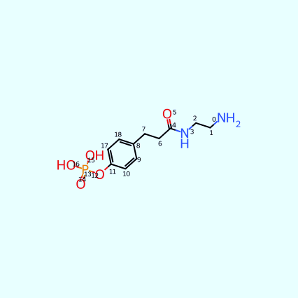 NCCNC(=O)CCc1ccc(OP(=O)(O)O)cc1